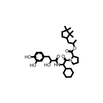 CC(CC1CCC(C)(C)C1(C)C)OC(=O)C1CCCN1C(=O)C(NC(=O)C(O)Cc1ccc(O)c(O)c1)C1CCCCC1